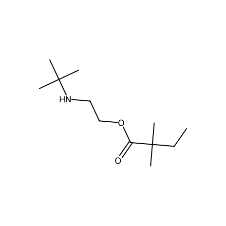 CCC(C)(C)C(=O)OCCNC(C)(C)C